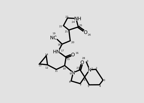 CN1CCCCC12CCN(C(CC1CC1)C(=O)NC(C#N)CC1CCNC1=O)C2=O